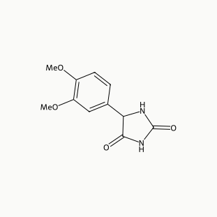 COc1ccc(C2NC(=O)NC2=O)cc1OC